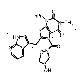 CCCn1c(=O)n(C)c(=O)c2c(C(=O)N3CC(O)CO3)c(Cc3c[nH]c4ncccc34)sc21